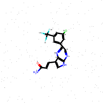 NC(=O)C=Cc1c[nH]c2ncc(-c3cc(Cl)cc(C(F)(F)F)c3)nc12